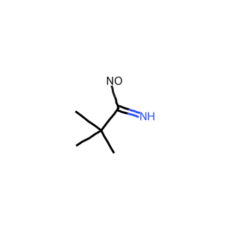 CC(C)(C)C(=N)N=O